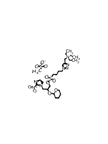 CC[N+](CC)(CC)Cc1cn(CCCCS(=O)(=O)OCC(Cn2ccnc2[N+](=O)[O-])OC2CCCCO2)nn1.CS(=O)(=O)[O-]